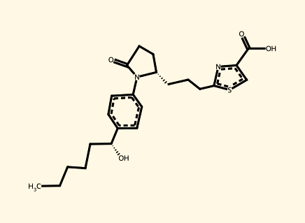 CCCCC[C@@H](O)c1ccc(N2C(=O)CC[C@@H]2CCCc2nc(C(=O)O)cs2)cc1